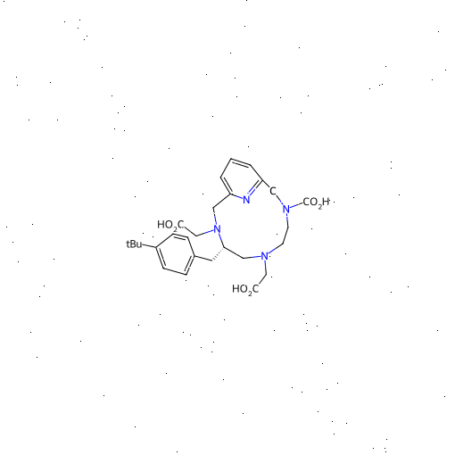 CC(C)(C)c1ccc(C[C@H]2CN(CC(=O)O)CCN(C(=O)O)Cc3cccc(n3)CN2CC(=O)O)cc1